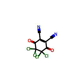 N#CC1=C(C#N)C(=O)C(Cl)(Cl)C(Cl)(Cl)C1=O